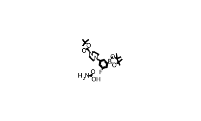 CC(C)(C)OC(=O)N1CCN(c2cc(F)cc(B3OC(C)(C)C(C)(C)O3)c2)CC1.NC(=O)O